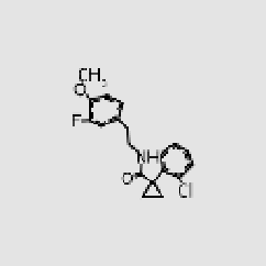 COc1ccc(CCNC(=O)C2(c3ccccc3Cl)CC2)cc1F